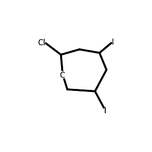 ClC1CCC(I)CC(I)C1